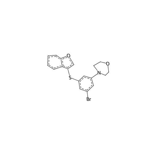 Brc1cc(Sc2coc3ccccc23)cc(N2CCOCC2)c1